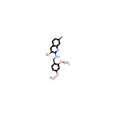 COc1ccc(CNc2nc3cc(I)ccc3cc2Br)c(OC)c1